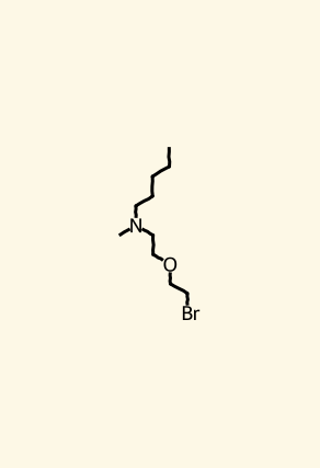 CCCCCN(C)CCOCCBr